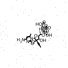 CC#CC1(Cl)[C@@H](O)[C@@H]([C@@H](C)OP(=O)(O)OP(=O)(O)OP(=O)(O)O)O[C@H]1n1c(C)cc(N)nc1=O